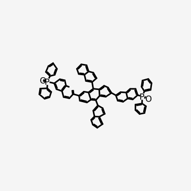 C=C(/C=C\c1cc(P(=O)(c2ccccc2)c2ccccc2)ccc1C)c1ccc2c(-c3ccc4ccccc4c3)c3cc(-c4ccc5cc(P(=O)(c6ccccc6)c6ccccc6)ccc5c4)ccc3c(-c3ccc4ccccc4c3)c2c1